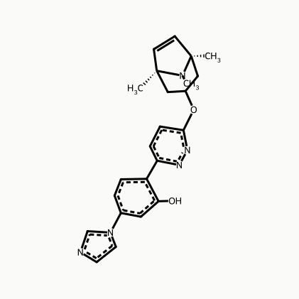 CN1[C@@]2(C)C=C[C@]1(C)CC(Oc1ccc(-c3ccc(-n4ccnc4)cc3O)nn1)C2